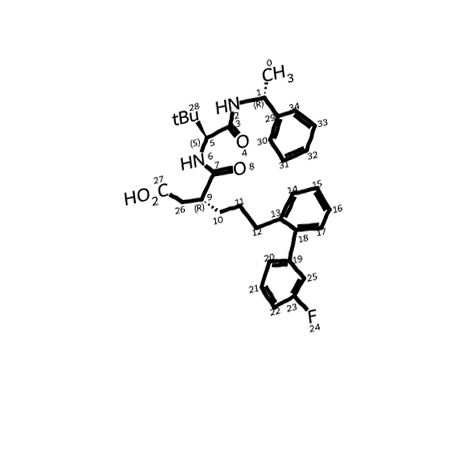 C[C@@H](NC(=O)[C@@H](NC(=O)[C@H](CCCc1ccccc1-c1cccc(F)c1)CC(=O)O)C(C)(C)C)c1ccccc1